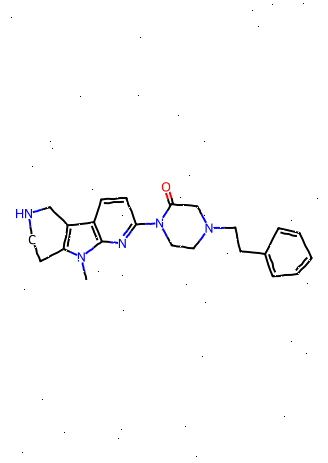 Cn1c2c(c3ccc(N4CCN(CCc5ccccc5)CC4=O)nc31)CNCC2